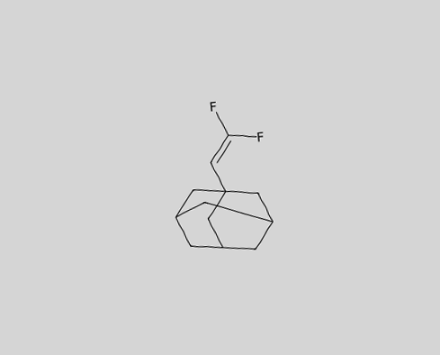 FC(F)=CC12CC3CC(CC(C3)C1)C2